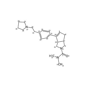 CN(C)C(=O)N1CC2CC=C(c3ccc(CCN4CCCC4)cc3)C2C1